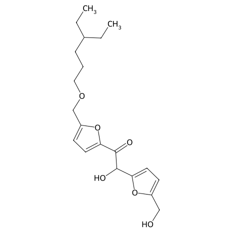 CCC(CC)CCCOCc1ccc(C(=O)C(O)c2ccc(CO)o2)o1